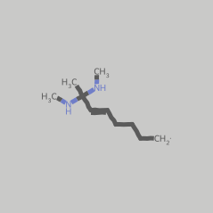 [CH2]CCCC=CC(C)(NC)NC